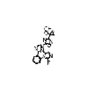 COC1(c2noc(N3C=NC4c5ccccc5-n5c(cnc5F)N43)n2)CC1